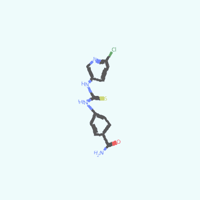 NC(=O)c1ccc(NC(=S)Nc2ccc(Cl)nc2)cc1